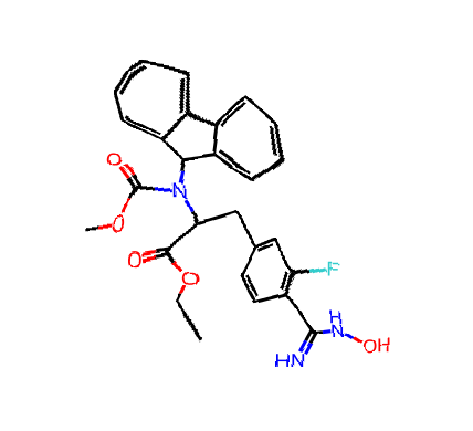 CCOC(=O)C(Cc1ccc(C(=N)NO)c(F)c1)N(C(=O)OC)C1c2ccccc2-c2ccccc21